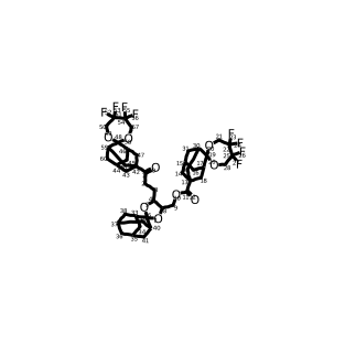 O=C(CCC1OC2(OC1COC(=O)C13CC4CC(C1)C1(OCC(F)(F)C(F)(F)CO1)C(C4)C3)C1CC3CC(C1)CC2C3)C12CC3CC(C1)C1(OCC(F)(F)C(F)(F)CO1)C(C3)C2